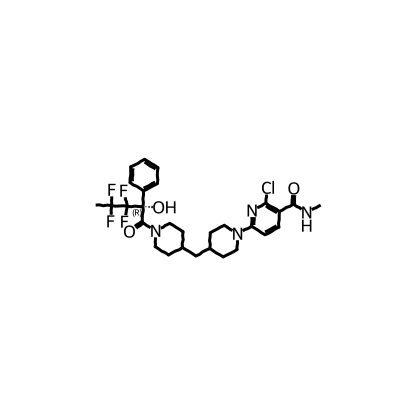 CNC(=O)c1ccc(N2CCC(CC3CCN(C(=O)[C@](O)(c4ccccc4)C(F)(F)C(C)(F)F)CC3)CC2)nc1Cl